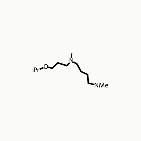 CNCCCCN(C)CCCOC(C)C